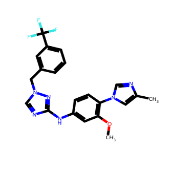 COc1cc(Nc2ncn(Cc3cccc(C(F)(F)F)c3)n2)ccc1-n1cnc(C)c1